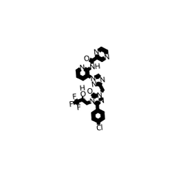 O=C(Nc1ncccc1-n1cnc(Cn2nc(-c3ccc(Cl)cc3)n(C[C@H](O)C(F)(F)F)c2=O)n1)c1cnccn1